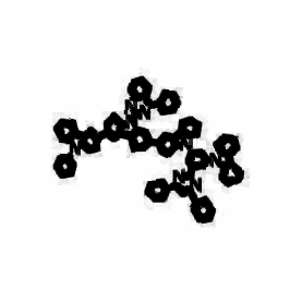 c1ccc(-c2cc(-c3ccccc3)nc(-c3cc(-n4c5ccccc5c5ccccc54)cc(-n4c5ccccc5c5cc(-c6ccc7c8cc(-c9ccc%10c(c9)c9ccccc9n%10-c9ccccc9)ccc8n(-c8nc(-c9ccccc9)c9ccccc9n8)c7c6)ccc54)c3)n2)cc1